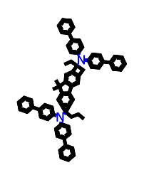 CCCC1(N(c2ccc(-c3ccccc3)cc2)c2ccc(-c3ccccc3)cc2)c2cc3c(cc21)C(C)(C)c1cc2c(cc1-3)CC2(CC)N(c1ccc(-c2ccccc2)cc1)c1ccc(-c2ccccc2)cc1